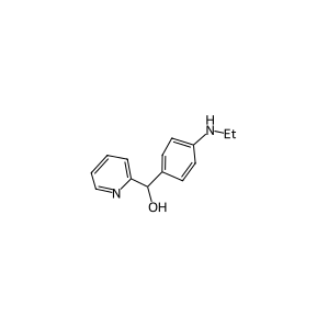 CCNc1ccc(C(O)c2ccccn2)cc1